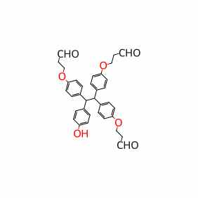 O=CCCOc1ccc(C(c2ccc(O)cc2)C(c2ccc(OCCC=O)cc2)c2ccc(OCCC=O)cc2)cc1